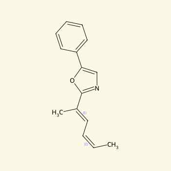 C/C=C\C=C(/C)c1ncc(-c2ccccc2)o1